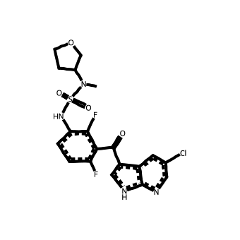 CN(C1CCOC1)S(=O)(=O)Nc1ccc(F)c(C(=O)c2c[nH]c3ncc(Cl)cc23)c1F